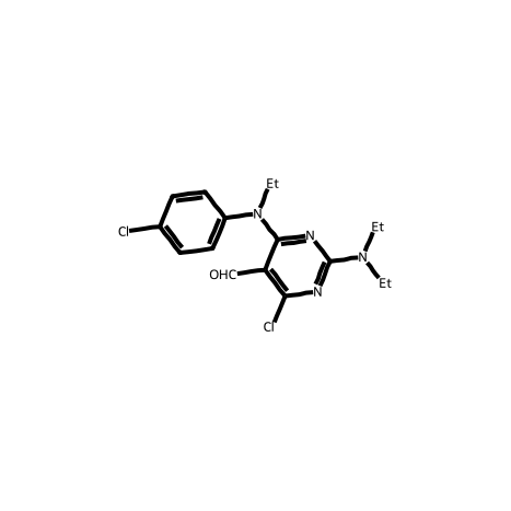 CCN(CC)c1nc(Cl)c(C=O)c(N(CC)c2ccc(Cl)cc2)n1